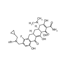 CCCN(Cc1cc(O)c2c(c1F)C[C@H]1C[C@H]3[C@H](N(C)C)C(O)=C(C(N)=O)C(=O)[C@@]3(O)C(O)=C1C2=O)CC1CC1